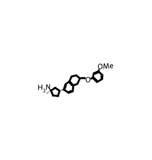 COc1cccc(OCC2CCc3cc([C@@H]4CC[C@@](C)(N)C4)ccc3C2)c1